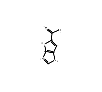 O=C(O)c1cc2scnc2s1